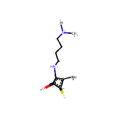 CCN(C)CCCCNc1c(C(C)(C)C)c(=S)c1=O